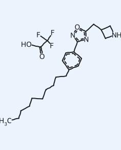 CCCCCCCCCCc1ccc(-c2noc(CC3CNC3)n2)cc1.O=C(O)C(F)(F)F